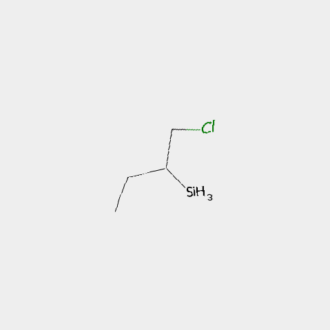 CCC([SiH3])CCl